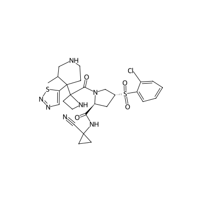 CC1CNCCC1(c1cnns1)C1(C(=O)N2C[C@H](S(=O)(=O)c3ccccc3Cl)C[C@H]2C(=O)NC2(C#N)CC2)CCN1